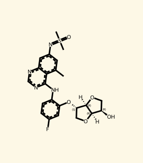 Cc1cc(N=S(C)(C)=O)cc2ncnc(Nc3ccc(F)cc3O[C@H]3CO[C@H]4[C@@H]3OC[C@H]4O)c12